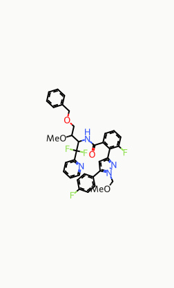 COCn1nc(-c2c(F)cccc2C(=O)NC(C(COCc2ccccc2)OC)C(F)(F)c2ccccn2)cc1-c1ccc(F)cc1